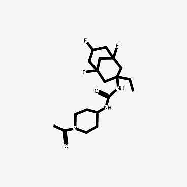 CCC1(NC(=O)NC2CCN(C(C)=O)CC2)CC2(F)CC(F)CC(F)(C2)C1